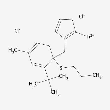 CCCSC1(CC2=[C]([Ti+2])CC=C2)CC=C(C)C=C1C(C)(C)C.[Cl-].[Cl-]